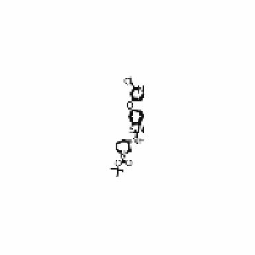 CC(C)(C)OC(=O)N1CCC[C@H](Nc2nc3ccc(Oc4ccnc(Cl)c4)cc3s2)C1